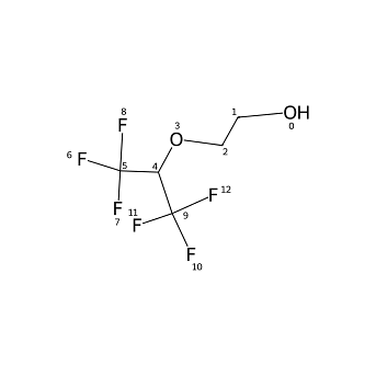 OCCOC(C(F)(F)F)C(F)(F)F